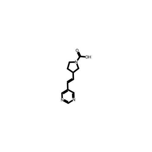 O=C(O)N1CCC(C=Cc2cncnc2)C1